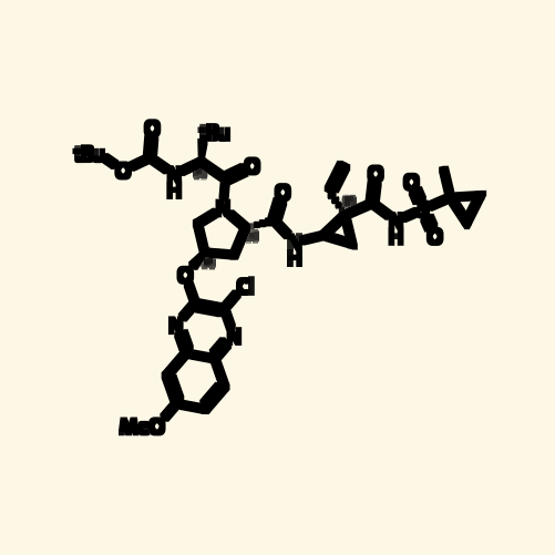 C=C[C@]1(C(=O)NS(=O)(=O)C2(C)CC2)CC1NC(=O)[C@@H]1C[C@@H](Oc2nc3cc(OC)ccc3nc2Cl)CN1C(=O)[C@@H](NC(=O)OC(C)(C)C)C(C)(C)C